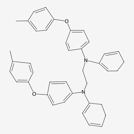 Cc1ccc(Oc2ccc(N(CCN(C3=CC=CCC3)c3ccc(Oc4ccc(C)cc4)cc3)C3=CCCC=C3)cc2)cc1